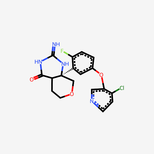 N=C1NC(=O)C2CCOC[C@]2(c2cc(Oc3cnccc3Cl)ccc2F)N1